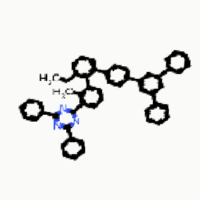 C=Cc1cccc(-c2ccc(-c3cc(-c4ccccc4)cc(-c4ccccc4)c3)cc2)c1-c1cccc(-c2nc(-c3ccccc3)nc(-c3ccccc3)n2)c1C